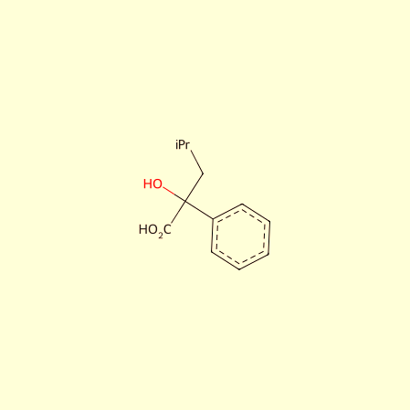 CC(C)CC(O)(C(=O)O)c1ccccc1